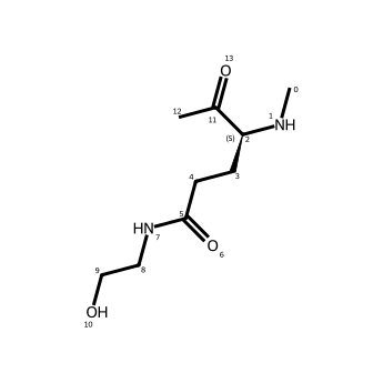 CN[C@@H](CCC(=O)NCCO)C(C)=O